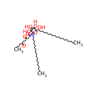 CCCCCCCCCCCCCCCCCCC(O)[C@H]1O[C@@H](N(CCCCCCCCCCCCCCCCCC)C(=O)CC(=O)CCC(=O)CCCC)[C@H](O)[C@@H](O)[C@@H]1O